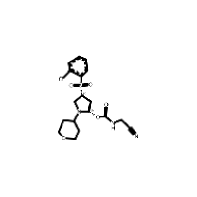 N#CCNC(=O)O[C@H]1C[C@@H](S(=O)(=O)c2ccccc2Cl)CN1C1CCOCC1